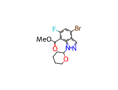 COC(=O)c1c(F)cc(Br)c2cnn(C3CCCCO3)c12